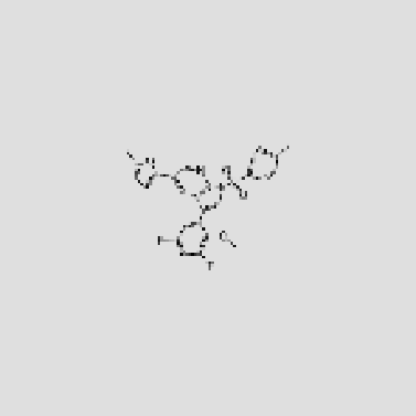 COc1c(F)cc(F)cc1-c1cn(S(=O)(=O)c2ccc(C)cc2)c2ncc(-c3ccc(C)o3)cc12